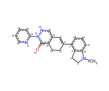 CN1CCc2c(C3=Cc4cnn(-c5ccccn5)c(=O)c4CC3)cccc21